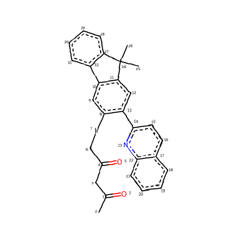 CC(=O)CC(=O)[CH2][Ir][c]1cc2c(cc1-c1ccc3ccccc3n1)C(C)(C)c1ccccc1-2